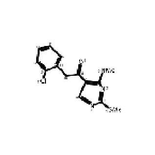 CNc1nc(SC)ncc1C(=O)Cc1ccccc1Cl